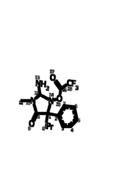 CC(C)C1(c2ccccc2)C(=O)N(C)C(N)N1OC(=O)C(F)(F)F